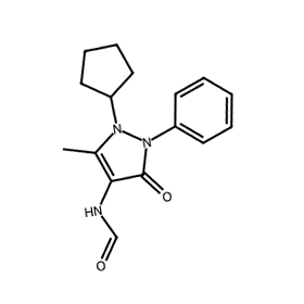 Cc1c(NC=O)c(=O)n(-c2ccccc2)n1C1CCCC1